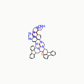 O=C(C(CC1c2ccccc2-c2ccccc21)N1CCN(c2ccc3c(C4CCNCC4)ncnc3c2)CC1)C(CC1c2ccccc2-c2ccccc21)N1CCN(c2ccc3c(C4CCNCC4)ncnc3c2)CC1